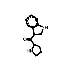 O=C(C1CCCN1)C1CNc2ccccc21